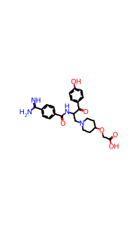 N=C(N)c1ccc(C(=O)NC(CN2CCC(OCC(=O)O)CC2)C(=O)c2ccc(O)cc2)cc1